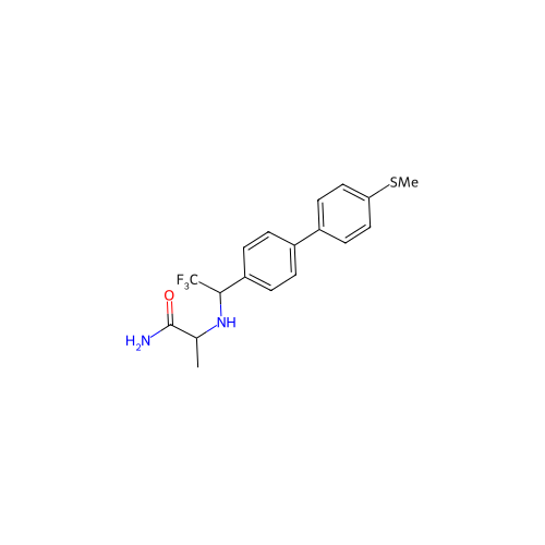 CSc1ccc(-c2ccc(C(NC(C)C(N)=O)C(F)(F)F)cc2)cc1